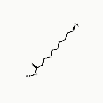 C=CCCOCCOCCC(=O)NC